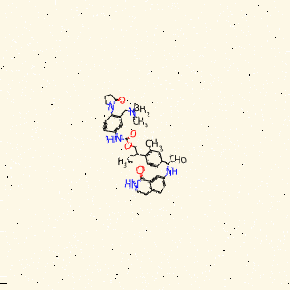 BN(C)Cc1cc(NC(=O)OC[C@H](C)c2ccc(C(C=O)Nc3ccc4cc[nH]c(=O)c4c3)cc2C)ccc1N1CCCC1=O